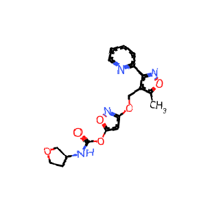 Cc1onc(-c2ccccn2)c1COc1cc(OC(=O)NC2CCOC2)on1